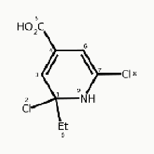 CCC1(Cl)C=C(C(=O)O)C=C(Cl)N1